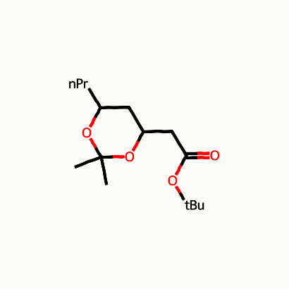 CCCC1CC(CC(=O)OC(C)(C)C)OC(C)(C)O1